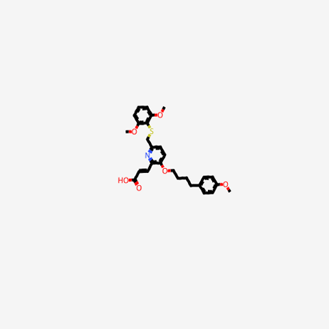 COc1ccc(CCCCOc2ccc(CSc3c(OC)cccc3OC)nc2C=CC(=O)O)cc1